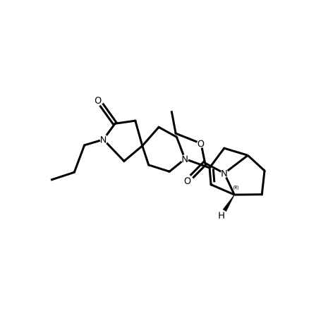 CCCN1CC2(CCN(C3=C[C@H]4CCC(C3)N4C(=O)OCC)CC2)CC1=O